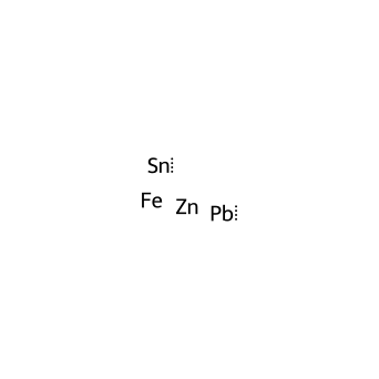 [Fe].[Pb].[Sn].[Zn]